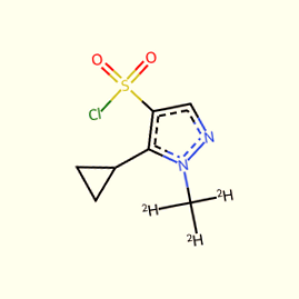 [2H]C([2H])([2H])n1ncc(S(=O)(=O)Cl)c1C1CC1